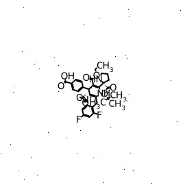 CCOC(=O)C1=C([C@]2(C(=O)OC(C)(C)C)CCCN2)NC(Cc2ccc(F)cc2F)=C([N+](=O)[O-])C1c1ccc(C(=O)O)cc1